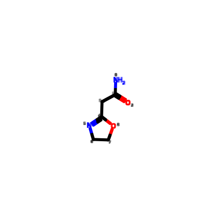 NC(=O)[CH]C1=NCCO1